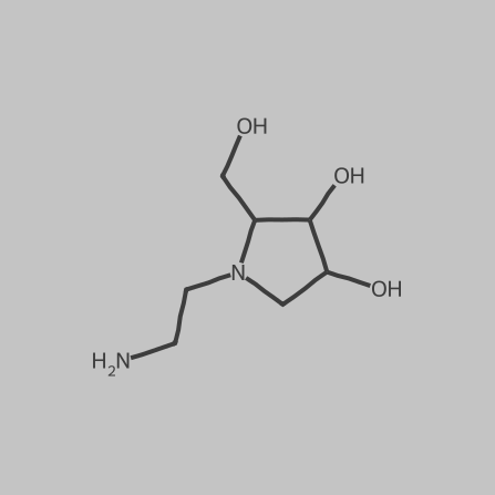 NCCN1CC(O)C(O)C1CO